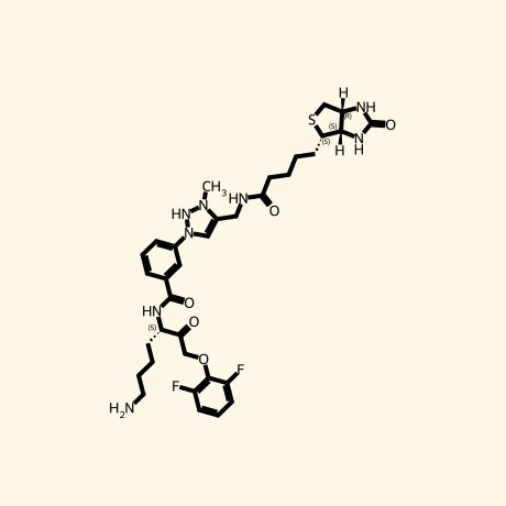 CN1NN(c2cccc(C(=O)N[C@@H](CCCCN)C(=O)COc3c(F)cccc3F)c2)C=C1CNC(=O)CCCC[C@@H]1SC[C@@H]2NC(=O)N[C@@H]21